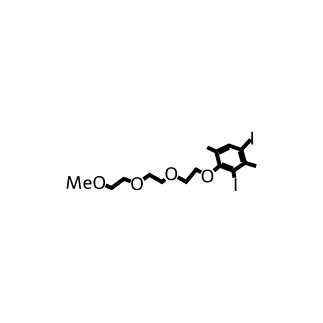 COCCOCCOCCOc1c(C)cc(I)c(C)c1I